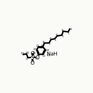 CCCCCCCCCc1ccc(OS(=O)(=O)CCC)cc1.[NaH]